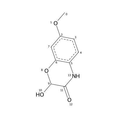 COc1ccc2c(c1)OC(O)C(=O)N2